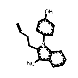 C=CCCc1c(C#N)c2ccccc2n1-c1ccc(O)cc1